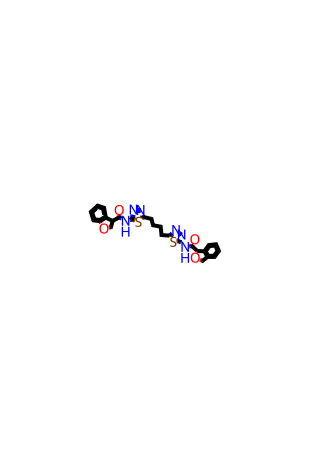 O=C(Nc1nnc(CCCCc2nnc(NC(=O)C3OCc4ccccc43)s2)s1)C1COc2ccccc21